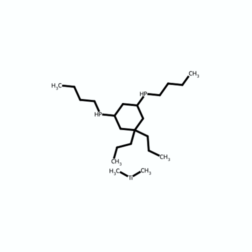 CCCCPC1CC(PCCCC)CC(CCC)(CCC)C1.[CH3][Ti][CH3]